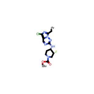 CC(C)Cc1nc(Cl)c2cnc(N[C@@H]3CCN(C(=O)OC(C)(C)C)C[C@H]3F)nn12